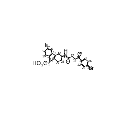 O=C(O)Cn1c2c(c3cc(F)ccc31)CC(NC(=O)CCC(=O)c1ccc(Br)cc1)CC2